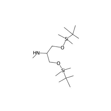 CNC(CO[Si](C)(C)C(C)(C)C)CO[Si](C)(C)C(C)(C)C